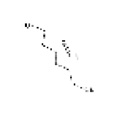 C=O.CCCCCCCC